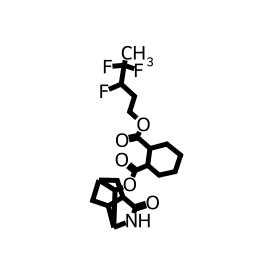 CC(F)(F)C(F)CCOC(=O)C1CCCCC1C(=O)OC1C2CC3C(=O)NC1C3C2